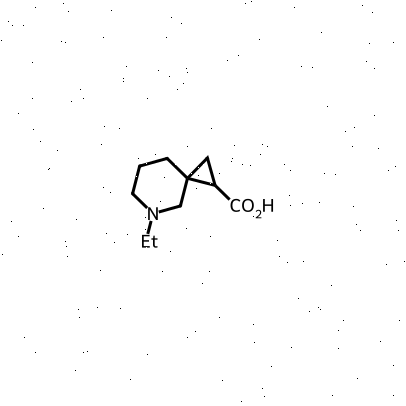 CCN1CCCC2(CC2C(=O)O)C1